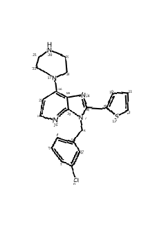 Clc1cccc(Cn2c(-c3cccs3)nc3c(N4CCNCC4)ccnc32)c1